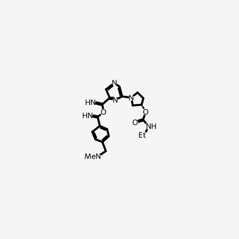 CCNC(=O)O[C@@H]1CCN(c2cncc(C(=N)OC(=N)c3ccc(CNC)cc3)n2)C1